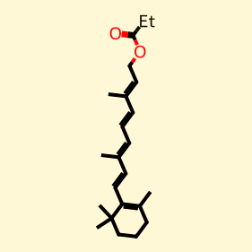 CCC(=O)OC/C=C(C)/C=C/C=C(C)/C=C/C1=C(C)CCCC1(C)C